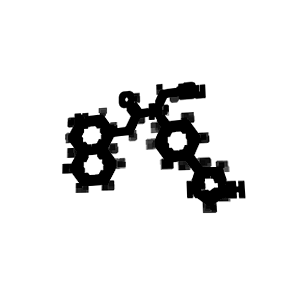 CC(C)(C)CN(C(=O)Cc1cncc2ccccc12)c1ccc(-c2c[nH]cn2)cc1